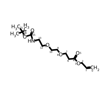 C=CCOC(=O)CCOCCOCCNC(=O)OC(C)(C)C